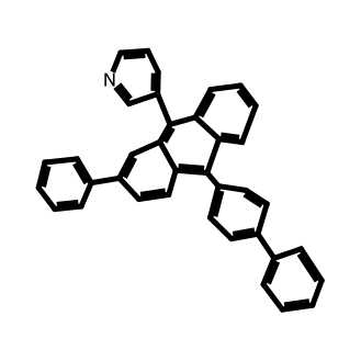 c1ccc(-c2ccc(-c3c4ccccc4c(-c4cccnc4)c4cc(-c5ccccc5)ccc34)cc2)cc1